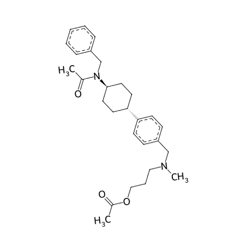 CC(=O)OCCCN(C)Cc1ccc([C@H]2CC[C@H](N(Cc3ccccc3)C(C)=O)CC2)cc1